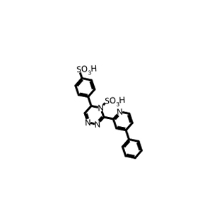 O=S(=O)(O)c1ccc(C2C=NN=C(c3cc(-c4ccccc4)ccn3)N2S(=O)(=O)O)cc1